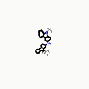 Cn1c2ccccc2c2cc(Nc3ccc4c(c3)C(C)(C)c3ccccc3-4)ccc21